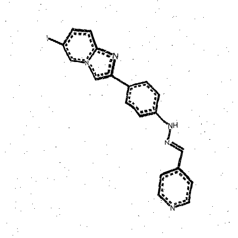 Ic1ccc2nc(-c3ccc(NN=Cc4ccncc4)cc3)cn2c1